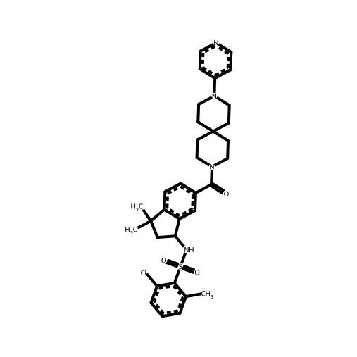 Cc1cccc(Cl)c1S(=O)(=O)NC1CC(C)(C)c2ccc(C(=O)N3CCC4(CC3)CCN(c3ccncc3)CC4)cc21